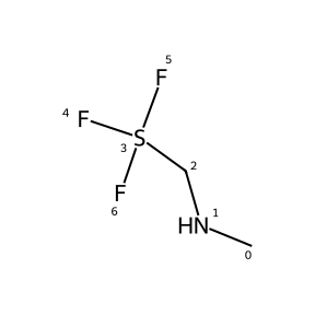 CNCS(F)(F)F